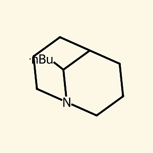 CCC[CH]C1C2CCCN1CCC2